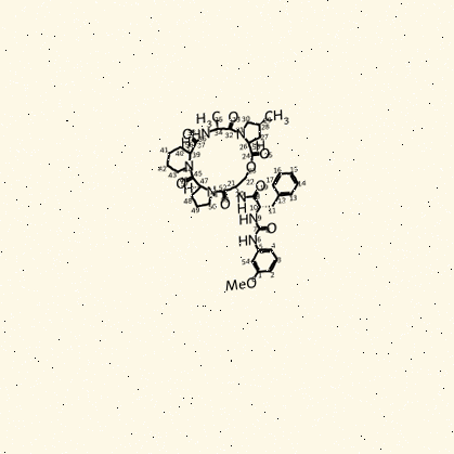 COc1cccc(NC(=O)N[C@@H](Cc2ccccc2)C(=O)N[C@H]2COC(=O)[C@@H]3C[C@H](C)CN3C(=O)[C@H](C)NC(=O)[C@@H]3CCCCN3C(=O)[C@@H]3CCCN3C2=O)c1